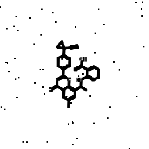 C#CC1(c2ccc(-c3cc(=O)c4cc(C)cc(C(C)Nc5ccccc5C(=O)O)c4o3)cc2)CC1